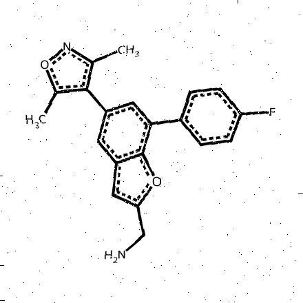 Cc1noc(C)c1-c1cc(-c2ccc(F)cc2)c2oc(CN)cc2c1